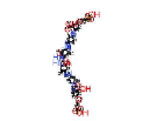 COc1cc(N=Nc2ccc(N=Nc3ccc(OCCCS(=O)(=O)O)cc3C(=O)O)c(C)c2)c(C)cc1NC(=O)Nc1cc(C)c(N=Nc2ccc(/N=N/c3ccc(OCCCS(=O)(=O)O)cc3C(=O)O)c(C)c2)cc1OC